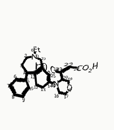 CCN1CCC(c2ccccc2)c2ccc(N3CCOCC3/C(=C\C(=O)O)C(=O)O)cc2C1